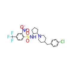 O=[N+]([O-])c1cc(C(F)(F)F)ccc1S(=O)(=O)NC1CCCC1N1CCC(Cc2ccc(Cl)cc2)CC1